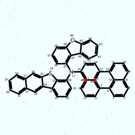 c1ccc(-c2cccc3cccc(-c4ccc(N(c5cccc6c5sc5cc7ccccc7cc56)c5cccc6oc7ccccc7c56)cc4)c23)cc1